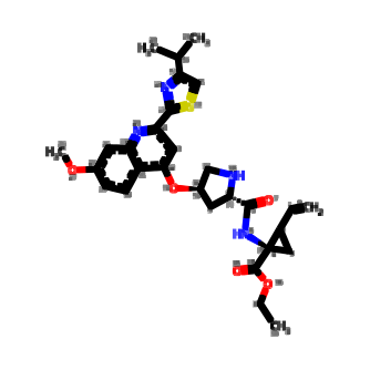 C=CC1C[C@]1(NC(=O)[C@@H]1C[C@@H](Oc2cc(-c3nc(C(C)C)cs3)nc3cc(OC)ccc23)CN1)C(=O)OCC